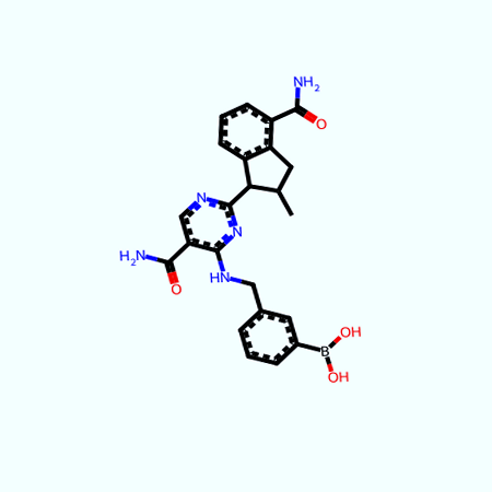 CC1Cc2c(C(N)=O)cccc2C1c1ncc(C(N)=O)c(NCc2cccc(B(O)O)c2)n1